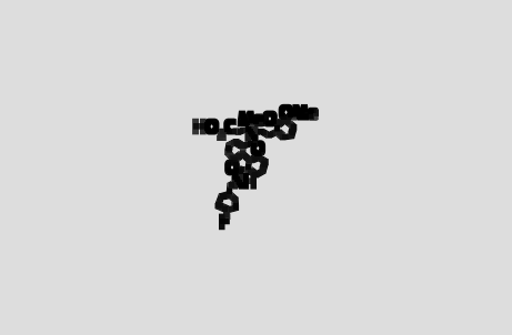 COc1cccc(CCN(CCC(=O)O)C(=O)c2ccccc2-c2ccccc2C(=O)NCc2ccc(F)cc2)c1OC